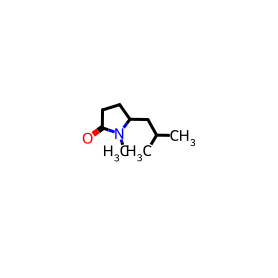 CC(C)CC1CCC(=O)N1C